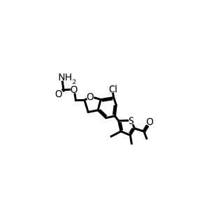 CC(=O)c1sc(-c2cc(Cl)c3c(c2)CC(COC(N)=O)O3)c(C)c1C